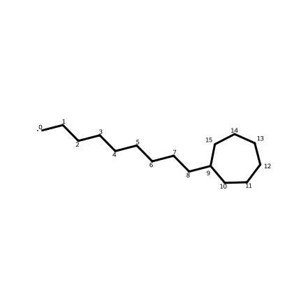 [CH2]CCCCCCCCC1CCCCCC1